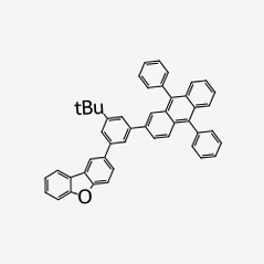 CC(C)(C)c1cc(-c2ccc3c(-c4ccccc4)c4ccccc4c(-c4ccccc4)c3c2)cc(-c2ccc3oc4ccccc4c3c2)c1